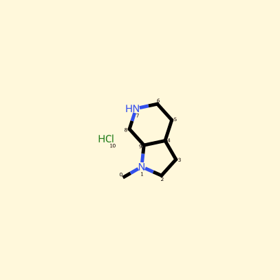 CN1CCC2CCNCC21.Cl